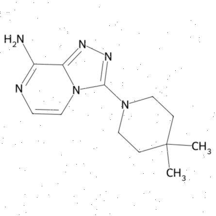 CC1(C)CCN(c2nnc3c(N)nccn23)CC1